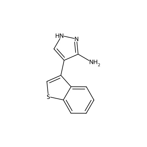 Nc1n[nH]cc1-c1csc2ccccc12